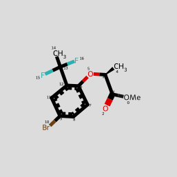 COC(=O)[C@H](C)Oc1ccc(Br)cc1C(C)(F)F